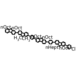 CCCCCCCCC1(CCCCCCC)c2cc(-c3ccc(Cl)cc3)ccc2-c2ccc(-c3ccc(-c4ccc5c(c4)C(CCCCCCCC)(CCCCCCCC)c4cc(-c6ccc(-c7ccc8c(c7)C(C)(C)c7cc(-c9ccc%10c(c9)C(CCCCCCCC)(CCCCCCCC)c9ccccc9-%10)ccc7-8)cc6)ccc4-5)cc3)cc21